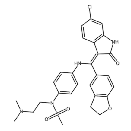 CN(C)CCN(c1ccc(NC(=C2C(=O)Nc3cc(Cl)ccc32)c2ccc3c(c2)CCO3)cc1)S(C)(=O)=O